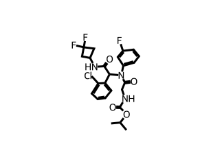 CC(C)OC(=O)NCC(=O)N(c1cccc(F)c1)C(C(=O)NC1CC(F)(F)C1)c1ccccc1Cl